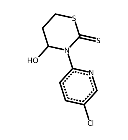 OC1CCSC(=S)N1c1ccc(Cl)cn1